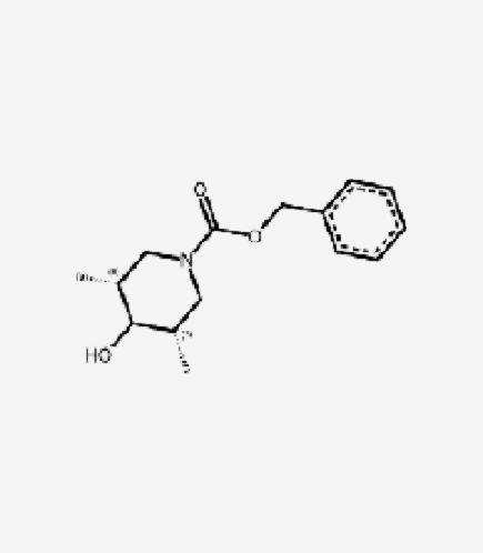 C[C@@H]1CN(C(=O)OCc2ccccc2)C[C@H](C)C1O